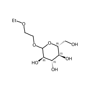 CCOCCOC1O[C@H](CO)[C@@H](O)[C@H](O)[C@H]1O